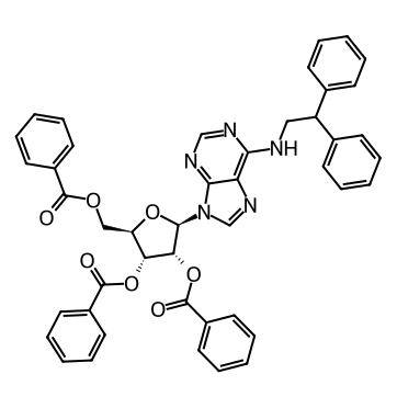 O=C(OC[C@H]1O[C@@H](n2cnc3c(NCC(c4ccccc4)c4ccccc4)ncnc32)[C@H](OC(=O)c2ccccc2)[C@@H]1OC(=O)c1ccccc1)c1ccccc1